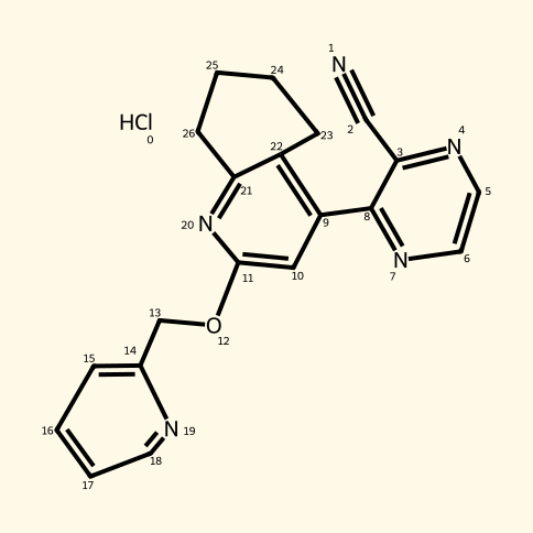 Cl.N#Cc1nccnc1-c1cc(OCc2ccccn2)nc2c1CCCC2